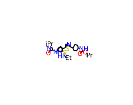 CCNSc1cc(N[C@@H]2CN(CC(C)C)C2=O)ccc1-c1cnc(C2CCC(NC(=O)OC(C)C)CC2)s1